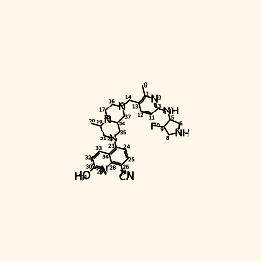 Cc1nc(NC2CNCC2F)ccc1CN1CCN2C(C)CN(c3ccc(C#N)c4nc(O)ccc34)CC2C1